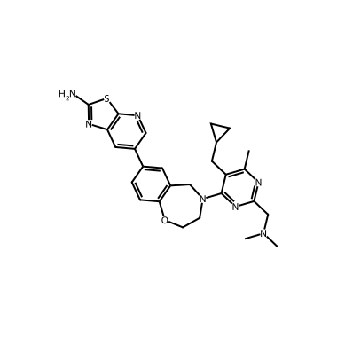 Cc1nc(CN(C)C)nc(N2CCOc3ccc(-c4cnc5sc(N)nc5c4)cc3C2)c1CC1CC1